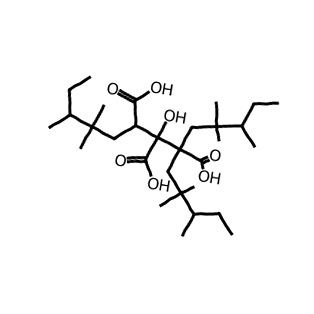 CCC(C)C(C)(C)CC(C(=O)O)C(O)(C(=O)O)C(CC(C)(C)C(C)CC)(CC(C)(C)C(C)CC)C(=O)O